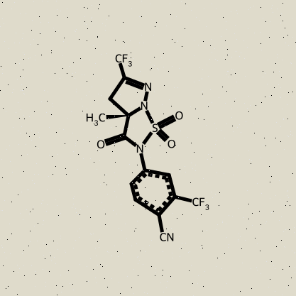 C[C@@]12CC(C(F)(F)F)=NN1S(=O)(=O)N(c1ccc(C#N)c(C(F)(F)F)c1)C2=O